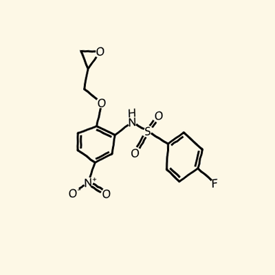 O=[N+]([O-])c1ccc(OCC2CO2)c(NS(=O)(=O)c2ccc(F)cc2)c1